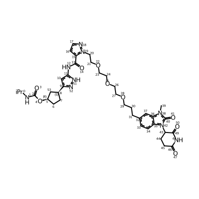 CC(C)NC(=O)O[C@@H]1CC[C@H](c2cc(NC(=O)c3ccnn3CCOCCOCCOCCCc3ccc4c(c3)n(C)c(=O)n4C3CCC(=O)NC3=O)[nH]n2)C1